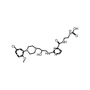 COc1ccc(Cl)cc1N1CCN(CC(O)CNc2nccc(C(=O)NCCNC(=O)O)n2)CC1